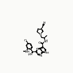 CNc1cc(Cl)ccc1C(=N)c1cnc2[nH]cc(C(=O)NC(C)CN3CCC(C#N)C3)c2n1